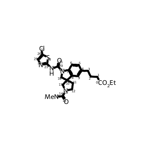 CCOC(=O)CCCc1ccc2c(c1)C1(CCN(C(=O)NC)C1)CN2C(=O)Nc1ncc(Cl)s1